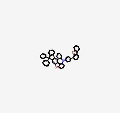 c1ccc(N(c2ccc(-c3cccc4c3sc3ccccc34)cc2)c2cccc3oc4cc5c(cc4c23)-c2ccccc2C5(c2ccccc2)c2ccccc2)cc1